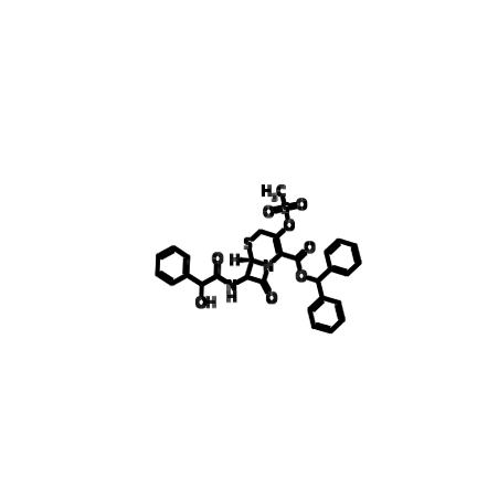 CS(=O)(=O)OC1=C(C(=O)OC(c2ccccc2)c2ccccc2)N2C(=O)C(NC(=O)C(O)c3ccccc3)[C@@H]2SC1